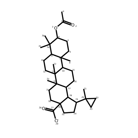 CC(=O)OC1CCC2(C)C(CCC3(C)C2CCC2C4C(C5(C)CC5)CCC4(C(=O)Cl)CCC23C)C1(C)C